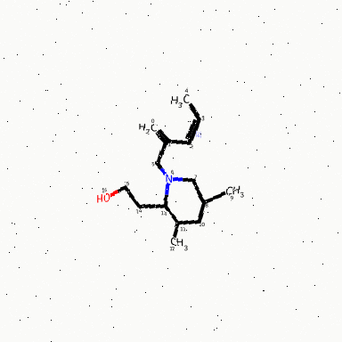 C=C(/C=C\C)CN1CC(C)CC(C)C1CCO